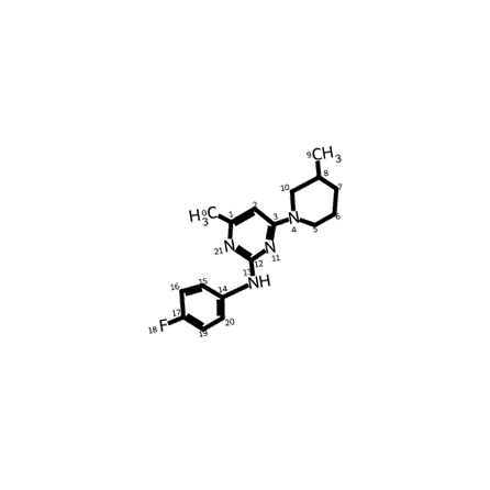 Cc1cc(N2CCCC(C)C2)nc(Nc2ccc(F)cc2)n1